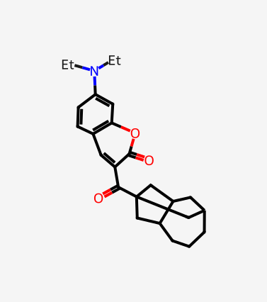 CCN(CC)c1ccc2cc(C(=O)C34CC5CCCC(C3)C(C5)C4)c(=O)oc2c1